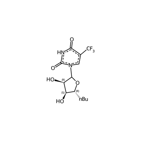 CCCC[C@H]1OC(n2cc(C(F)(F)F)c(=O)[nH]c2=O)[C@H](O)[C@@H]1O